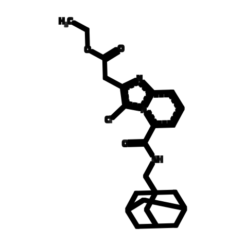 CCOC(=O)Cc1nc2cccc(C(=O)NCC34CC5CC(CC(C5)C3)C4)n2c1Cl